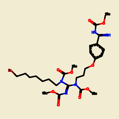 CC(C)(C)OC(=O)N=C(N(CCCCCCCBr)C(=O)OC(C)(C)C)N(CCCOc1ccc(C(=N)NC(=O)OC(C)(C)C)cc1)C(=O)OC(C)(C)C